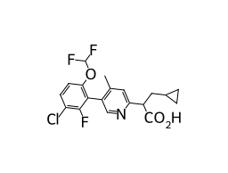 Cc1cc(C(CC2CC2)C(=O)O)ncc1-c1c(OC(F)F)ccc(Cl)c1F